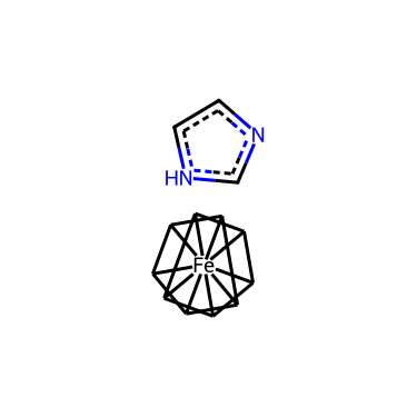 [CH]12[CH]3[CH]4[CH]5[CH]1[Fe]23451678[CH]2[CH]1[CH]6[CH]7[CH]28.c1c[nH]cn1